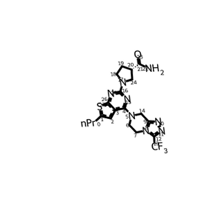 CCCc1cc2c(N3CCn4c(nnc4C(F)(F)F)C3)nc(N3CC[C@H](C(N)=O)C3)nc2s1